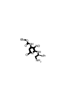 CCC[C@@H](CN)Nc1nc(Cl)cc(NC(=O)OC(C)(C)C)c1N=O